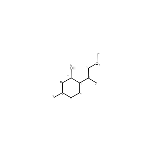 COCC(C)C1CCC(C)CC1O